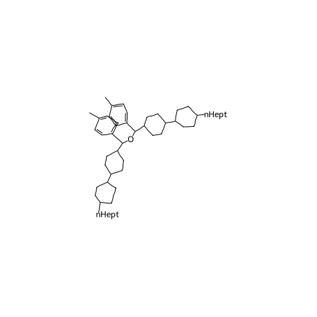 CCCCCCCC1CCC(C2CCC(C(OC(c3ccc(C)cc3)C3CCC(C4CCC(CCCCCCC)CC4)CC3)c3ccc(C)cc3)CC2)CC1